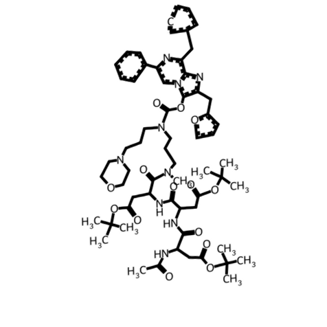 CC(=O)NC(CC(=O)OC(C)(C)C)C(=O)NC(CC(=O)OC(C)(C)C)C(=O)NC(CC(=O)OC(C)(C)C)C(=O)N(C)CCCN(CCCN1CCOCC1)C(=O)Oc1c(Cc2ccco2)nc2c(Cc3ccccc3)nc(-c3ccccc3)cn12